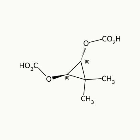 CC1(C)[C@@H](OC(=O)O)[C@@H]1OC(=O)O